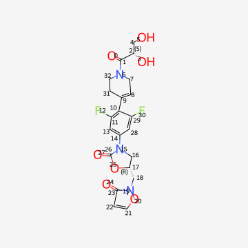 O=C([C@@H](O)CO)N1CC=C(c2c(F)cc(N3C[C@H](Cn4occc4=O)OC3=O)cc2F)CC1